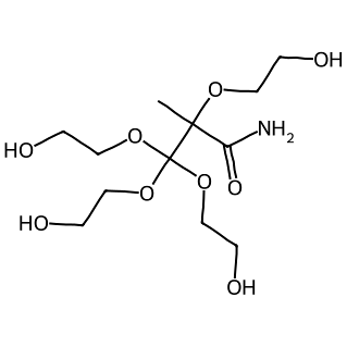 CC(OCCO)(C(N)=O)C(OCCO)(OCCO)OCCO